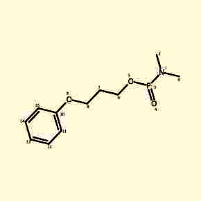 CN(C)[P](=O)OCCCOc1ccccc1